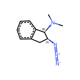 CN(C)[C@@H]1c2ccccc2C[C@@H]1N=[N+]=[N-]